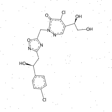 O=c1c(Cl)c([C@@H](O)CO)cnn1Cc1nc(C[C@H](O)c2ccc(Cl)cc2)no1